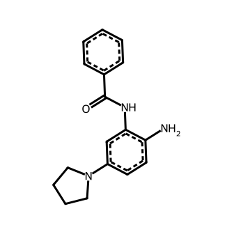 Nc1ccc(N2CCCC2)cc1NC(=O)c1ccccc1